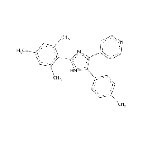 Cc1ccc(-c2[nH]c(-c3c(C)cc(C)cc3C)nc2-c2ccncc2)cc1